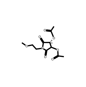 COCCN1C(=O)C(OC(C)=O)[C@@H](OC(C)=O)C1=O